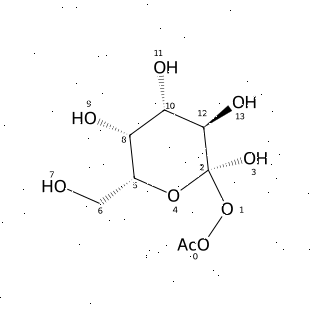 CC(=O)OO[C@@]1(O)O[C@H](CO)[C@H](O)[C@H](O)[C@H]1O